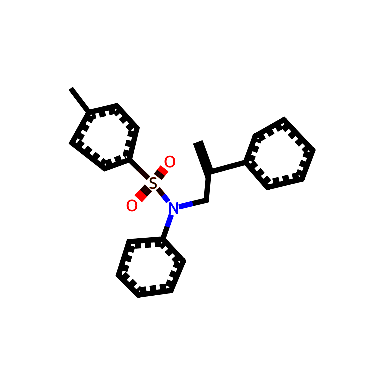 C=C(CN(c1ccccc1)S(=O)(=O)c1ccc(C)cc1)c1ccccc1